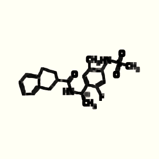 Cc1cc([C@@H](C)NC(=O)C2CCc3ccccc3C2)c(F)cc1NS(C)(=O)=O